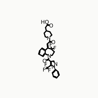 O=C(O)CC1CCN(C(=O)/C=C2/c3ccccc3N(C(=O)c3cnn(-c4ccccc4)c3C(F)(F)F)CCC2(F)F)CC1